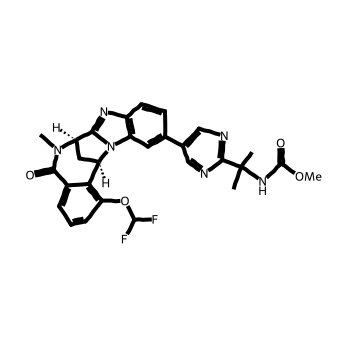 COC(=O)NC(C)(C)c1ncc(-c2ccc3nc4n(c3c2)[C@@H]2C[C@H]4N(C)C(=O)c3cccc(OC(F)F)c32)cn1